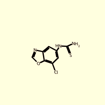 NC(=S)Nc1cc(Cl)c2ocnc2c1